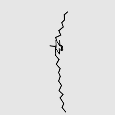 CCCCCCCCCCCCCC[n+]1ccn(CCCCCCCC)c1C